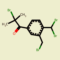 CC(C)(Br)C(=O)c1ccc(C(Br)Br)c(CBr)c1